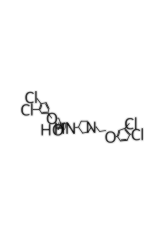 O[C@H](CNC1CCN(CCCOc2ccc(Cl)c(Cl)c2)CC1)COc1ccc(Cl)c(Cl)c1